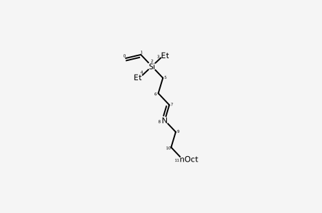 C=C[Si](CC)(CC)CCC=NCCCCCCCCCC